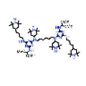 COC(Nc1nc(NCCCCC2CC(C)(C)NC(C)(C)C2)nc(N(CCCCCCN(c2nc(NCCCCC3CC(C)(C)NC(C)(C)C3)nc(NC(OC)OC)n2)C2CC(C)(C)NC(C)(C)C2)C2CC(C)(C)NC(C)(C)C2)n1)OC